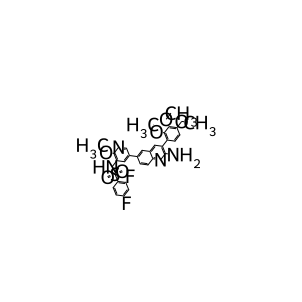 COc1ccc(-c2cc3cc(-c4cnc(OC)c(NS(=O)(=O)c5ccc(F)cc5F)c4)ccc3nc2N)c(OC)c1OC